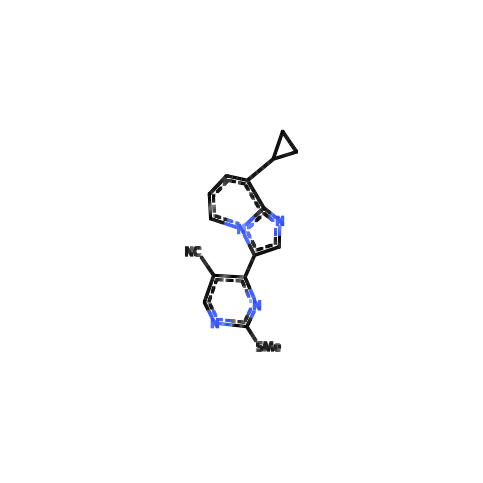 CSc1ncc(C#N)c(-c2cnc3c(C4CC4)cccn23)n1